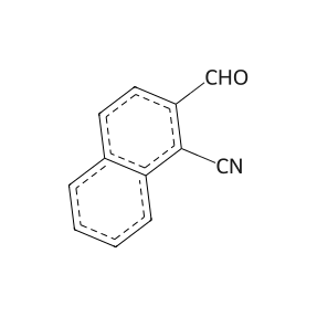 N#Cc1c(C=O)ccc2ccccc12